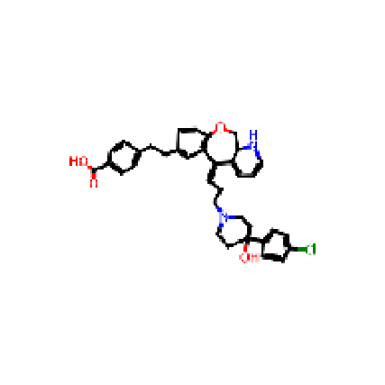 O=C(O)c1ccc(CCc2ccc3c(c2)/C(=C/CCN2CCC(O)(c4ccc(Cl)cc4)CC2)C2=CC=CNC2CO3)cc1